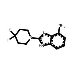 Nc1cccc2[nH]c(N3CCC(F)(F)CC3)nc12